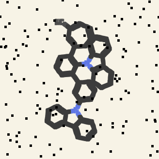 N#CC1=CC#CCC(c2cccc(-c3cccc(-n4c5ccccc5c5ccccc54)c3)c2-n2c3c(c4ccccc42)C=CCC3)=C1